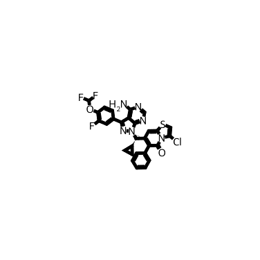 Nc1ncnc2c1c(-c1ccc(OC(F)F)c(F)c1)nn2[C@H](c1cc2scc(Cl)n2c(=O)c1-c1ccccc1)C1CC1